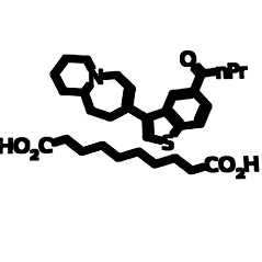 CCCC(=O)c1ccc2scc(C3=CCN4CCCCC4CC3)c2c1.O=C(O)CCCCCCCCC(=O)O